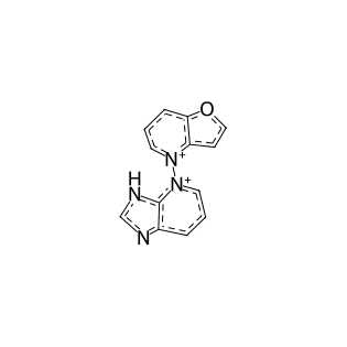 c1cc2occc2[n+](-[n+]2cccc3nc[nH]c32)c1